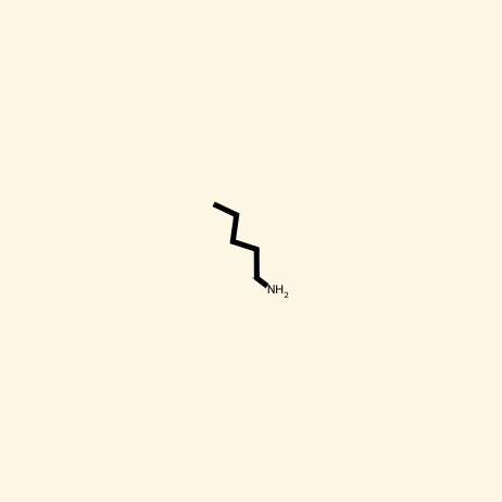 CCCC[CH]N